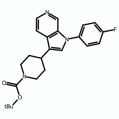 CC(C)(C)OC(=O)N1CCC(c2cn(-c3ccc(F)cc3)c3cnccc23)CC1